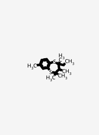 CCC1(C)Sc2ccc(C)cc2SC(C)(C)C1C